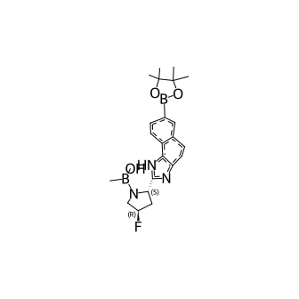 CB(O)N1C[C@H](F)C[C@H]1c1nc2ccc3cc(B4OC(C)(C)C(C)(C)O4)ccc3c2[nH]1